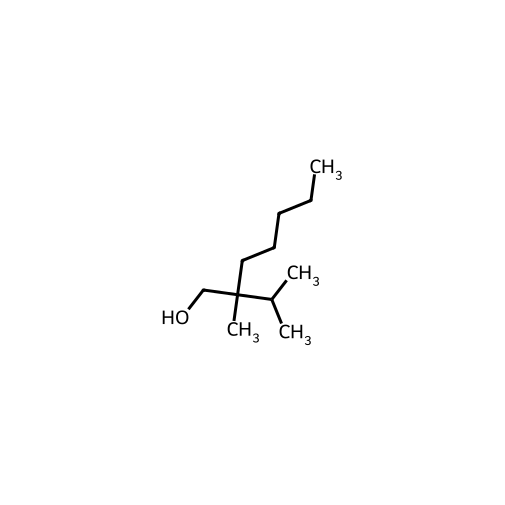 CCCCCC(C)(CO)C(C)C